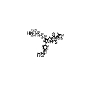 Cl.Cl.O=C1/C(=C/c2[nH]c(-c3ccc(Cl)cc3)cc2CCCCCN2CCNCC2)SC(=S)N1C1CC2CCC1C2